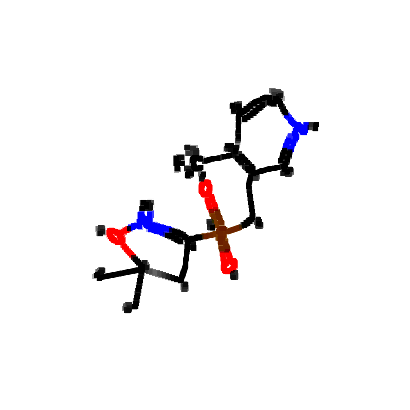 CC1(C)CC(S(=O)(=O)Cc2cnccc2C(F)(F)F)=NO1